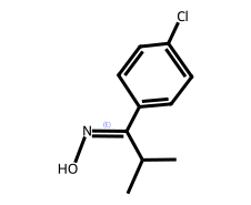 CC(C)/C(=N\O)c1ccc(Cl)cc1